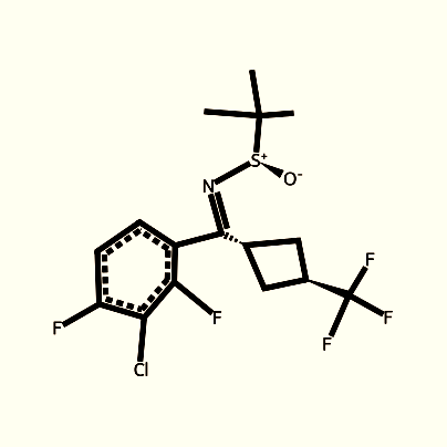 CC(C)(C)[S@@+]([O-])N=C(c1ccc(F)c(Cl)c1F)[C@H]1C[C@H](C(F)(F)F)C1